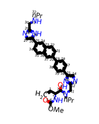 C=C[C@H](NC(=O)OC)C(=O)N(CCC)Cc1ncc(-c2ccc(-c3ccc4cc(-c5cnc(CNCCC)[nH]5)ccc4c3)cc2)[nH]1